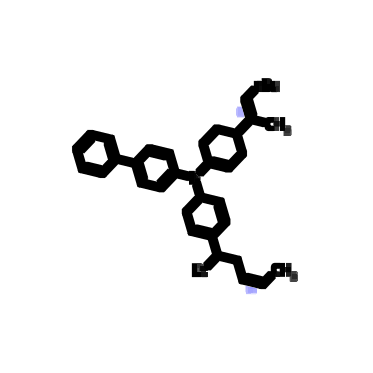 C/C=C\CC(CC)C1=CCC(N(C2=CCC(/C(C)=C/CCCC)CC2)c2ccc(-c3ccccc3)cc2)C=C1